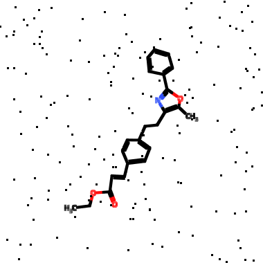 CCOC(=O)/C=C/c1ccc(CCc2nc(-c3ccccc3)oc2C)cc1